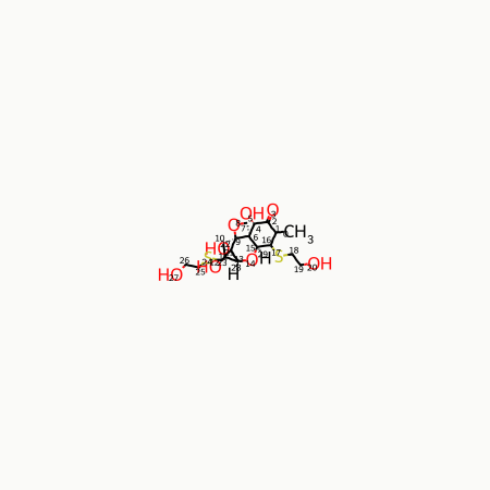 CC1C(=O)[C@@H](O)[C@]23CO[C@@]24C[C@@H](O)[C@@H](O[C@@H]3C1SCCO)[C@@]4(O)CSCCO